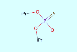 CC(C)OP([O])(=S)OC(C)C